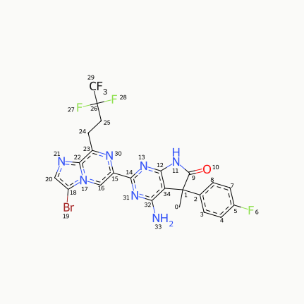 CC1(c2ccc(F)cc2)C(=O)Nc2nc(-c3cn4c(Br)cnc4c(CCC(F)(F)C(F)(F)F)n3)nc(N)c21